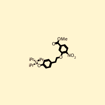 COC(=O)c1ccc([N+](=O)[O-])c(OCCc2ccc(O[Si](C(C)C)(C(C)C)C(C)C)cc2)c1